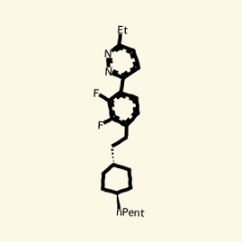 CCCCC[C@H]1CC[C@H](CCc2ccc(-c3ccc(CC)nn3)c(F)c2F)CC1